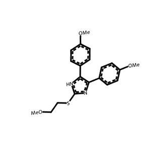 COCCSc1nc(-c2ccc(OC)cc2)c(-c2ccc(OC)cc2)[nH]1